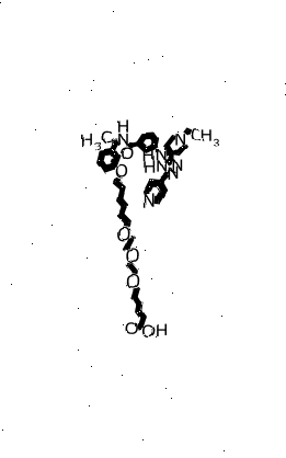 CCN1CCC(Nc2cccc(C(=O)N[C@@H](C)c3cccc(OCCCCCCOCCOCCOCCCCCC(=O)O)c3)c2)(c2nnc(-c3ccncc3)[nH]2)CC1